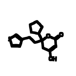 O=C1C=C(O)CC(CCc2ccsc2)(C2CCCC2)O1